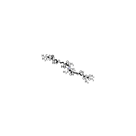 CC(C)(C)OC(=O)NCC(=O)OCCNC(=O)C(C)(C)/N=N/C(C)(C)C(=O)NCCOC(=O)CNC(=O)OC(C)(C)C